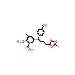 COc1c(C)cc(C(=CCCc2nnc(C)o2)c2ccc(C#N)cc2)cc1C(O)=S